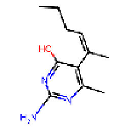 CCC/C=C(/C)c1c(C)nc(N)nc1O